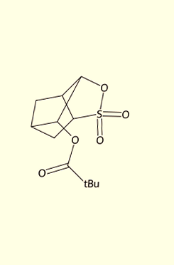 CC(C)(C)C(=O)OC1C2CC3C1OS(=O)(=O)C3C2